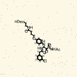 CCCCCCCCCCCCNC(=O)CCCOc1ccc(NC(NC(=O)Cc2cccc(Cl)c2)C(=O)N(CC)NC(C)=O)cc1